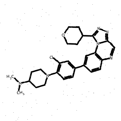 CN(C)C1CCN(c2ccc(-c3ccc4ncc5nnc(C6CCOCC6)n5c4c3)cc2Cl)CC1